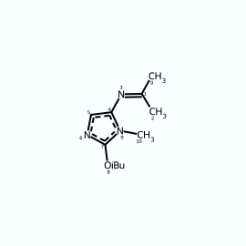 CC(C)=Nc1cnc(OCC(C)C)n1C